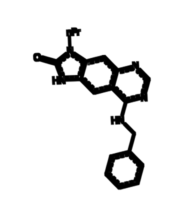 CCCn1c(=O)[nH]c2cc3c(NCc4ccccc4)ncnc3cc21